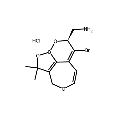 CC1(C)OB2O[C@@H](CN)C(Br)=C3C=COCC1=C23.Cl